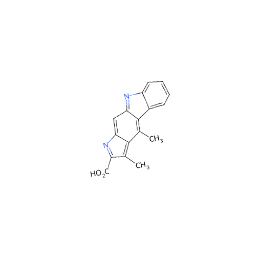 CC1=c2c(cc3c(c2C)-c2ccccc2N=3)N=C1C(=O)O